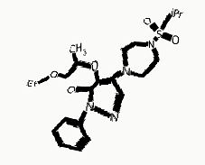 CCOCC(C)Oc1c(N2CCN(S(=O)(=O)C(C)C)CC2)cnn(-c2ccccc2)c1=O